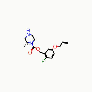 C=CCOc1ccc(F)c(COC(=O)N2CCNC[C@H]2C)c1